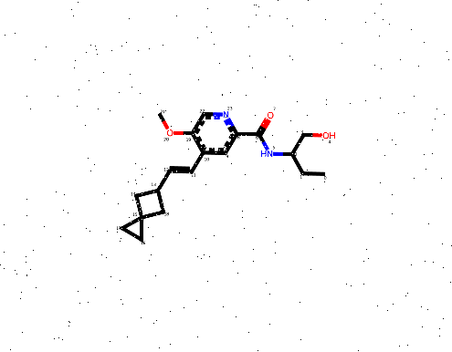 CCC(CO)NC(=O)c1cc(/C=C/C2CC3(CC3)C2)c(OC)cn1